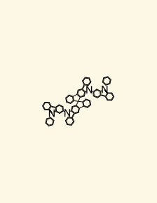 c1ccc(-n2c3ccccc3c3ccc(-n4c5ccccc5c5cc6c(cc54)C4(c5ccccc5-6)c5ccccc5-c5cc6c7ccccc7n(-c7ccc8c9ccccc9n(-c9ccccc9)c8c7)c6cc54)cc32)cc1